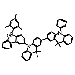 Cc1cc(C)c(B2Oc3ccccc3-c3cc(N4c5ccccc5C(C)(C)c5cc(-c6ccc7c(c6)C(C)(C)c6ccccc6N7c6ccccc6)ccc54)ccc32)c(C)c1